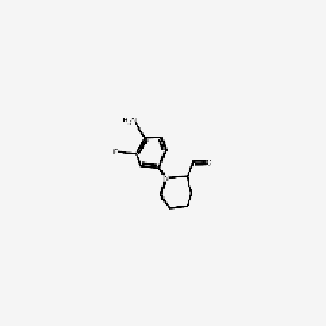 Nc1ccc(N2CCCCC2C=O)cc1F